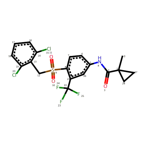 CC1(C(=O)Nc2ccc(S(=O)(=O)Cc3c(Cl)cccc3Cl)c(C(F)(F)F)c2)CC1